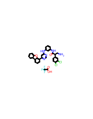 NCC(C(=O)Nc1cccc(Nc2cc(-c3cccc4c3oc3ccccc34)ncn2)c1)c1ccc(Cl)c(Cl)c1.O=C(O)C(F)(F)F